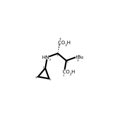 CC(C)(C)C(C(=O)O)[C@H](NC1CC1)C(=O)O